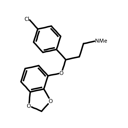 CNCCC(Oc1cccc2c1OCO2)c1ccc(Cl)cc1